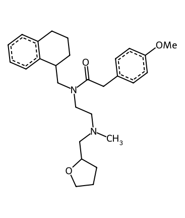 COc1ccc(CC(=O)N(CCN(C)CC2CCCO2)CC2CCCc3ccccc32)cc1